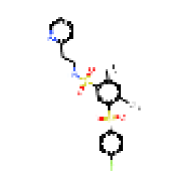 Cc1cc(C)c(S(=O)(=O)c2ccc(F)cc2)cc1S(=O)(=O)NCCc1ccccn1